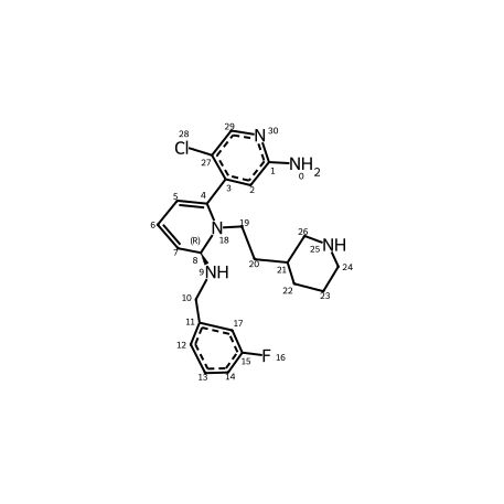 Nc1cc(C2=CC=C[C@H](NCc3cccc(F)c3)N2CCC2CCCNC2)c(Cl)cn1